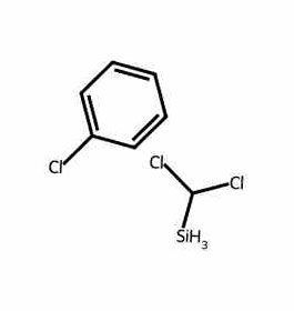 Clc1ccccc1.[SiH3]C(Cl)Cl